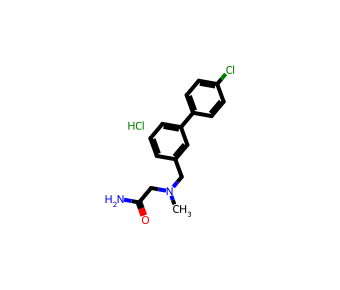 CN(CC(N)=O)Cc1cccc(-c2ccc(Cl)cc2)c1.Cl